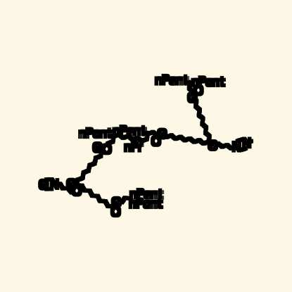 CCCCCC(CCCCC)CCOC(=O)CCCCCCCCC1(CCCCCCCCC(=O)OCCC(CCCCC)CCCCCC(CCC)CC(CCCCC)CC(=O)OCCCCCCCCCC(CCCCCCCCCOC(=O)CC(CCCCC)CCCCC)OCCCCN2CCN(C)CC2)OCC(CCN2CCOCC2)O1